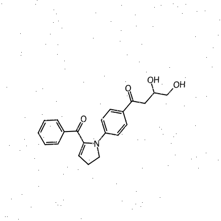 O=C(CC(O)CO)c1ccc(N2CCC=C2C(=O)c2ccccc2)cc1